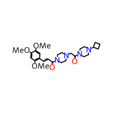 COc1cc(OC)c(OC)cc1/C=C/C(=O)N1CCN(CC(=O)N2CCN(C3CCC3)CC2)CC1